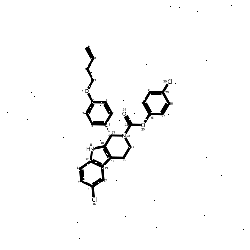 C=CCCOc1ccc([C@H]2c3[nH]c4ccc(Cl)cc4c3CCN2C(=O)Oc2ccc(Cl)cc2)cc1